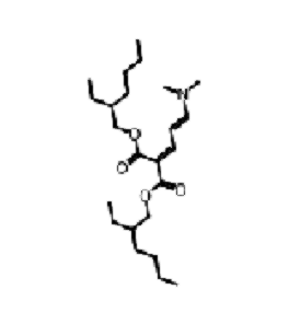 CCCCC(CC)COC(=O)C(=CC=CN(C)C)C(=O)OCC(CC)CCCC